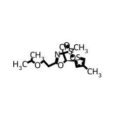 Cc1csc([C@H]2OC(CCOC(C)C)=N[C@]2(C)S(C)(=O)=O)c1